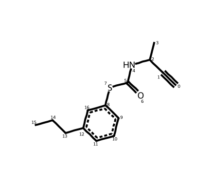 C#CC(C)NC(=O)Sc1cccc(CCC)c1